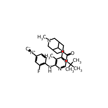 [C-]#[N+]c1ccc(Nc2ncnc(OC3C4CN(C)CC3CN(C(=O)OC(C)(C)C)C4)c2C)c(F)c1